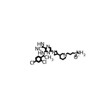 CC(Nc1nc(N2CC(C3CCCN(CCC[S+](N)[O-])C3)C2)cnc1C(=N)C#N)c1ccc(Cl)cc1Cl